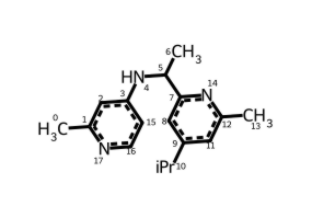 Cc1cc(NC(C)c2cc(C(C)C)cc(C)n2)ccn1